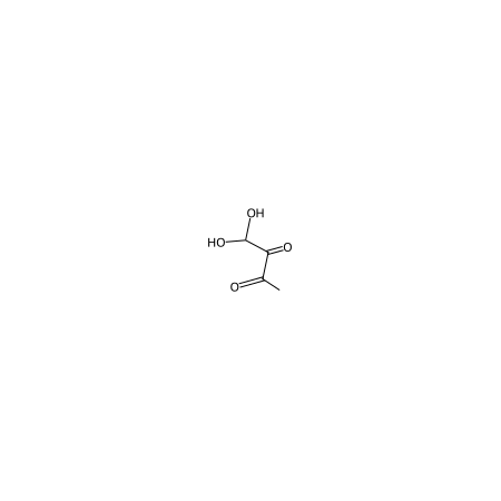 CC(=O)C(=O)C(O)O